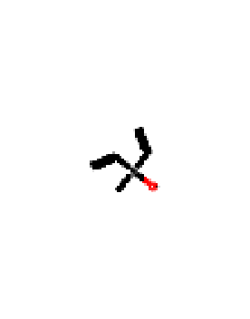 C=C[Si](C)([O])C=C